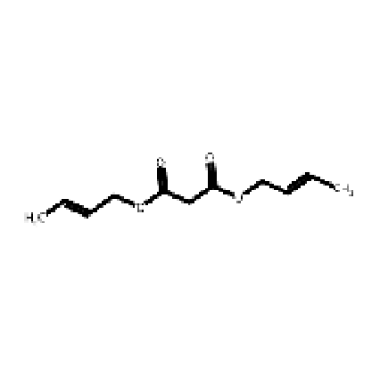 CC=CCOC(=O)CC(=O)OCC=CC